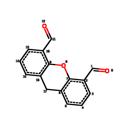 O=Cc1cccc2c1Oc1c(C=O)cccc1C2